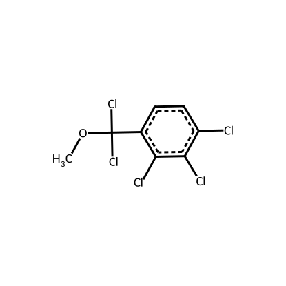 COC(Cl)(Cl)c1ccc(Cl)c(Cl)c1Cl